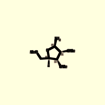 B[C@@H]1O[C@](C)(COC)[C@@H](OC)[C@H]1OC